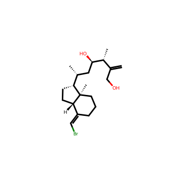 C=C(CO)[C@@H](C)[C@H](O)C[C@@H](C)[C@H]1CC[C@H]2/C(=C/Br)CCC[C@]12C